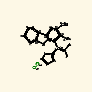 C[C](C)=[Zr+2]([C]1=CC=CC1)[c]1c2c(cc(C(C)(C)C)c1C(C)(C)C)-c1ccccc1C2.[Cl-].[Cl-]